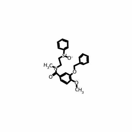 COc1ccc(C(=O)N(C)CC[S+]([O-])c2ccccc2)cc1OCc1ccccc1